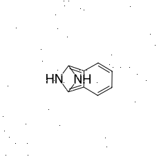 c1ccc2c3[nH]c([nH]3)c2c1